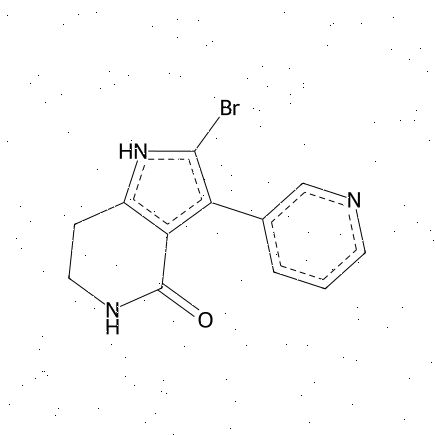 O=C1NCCc2[nH]c(Br)c(-c3cccnc3)c21